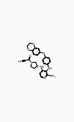 C#CC(=O)N1CC[C@@H](Nc2ccnc(N)c2Nc2ccc(Oc3ccc4c(c3)OCCO4)cc2)C1